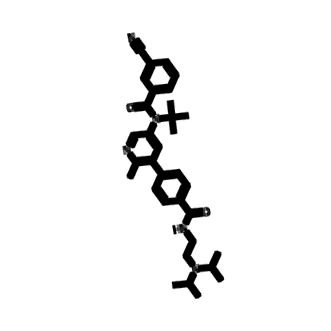 Cc1ncc(N(C(=O)c2cccc(C#N)c2)C(C)(C)C)cc1-c1ccc(C(=O)NCCN(C(C)C)C(C)C)cc1